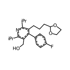 CC(C)c1nc(C(C)C)c(CCCC2OCCO2)c(-c2ccc(F)cc2)c1CO